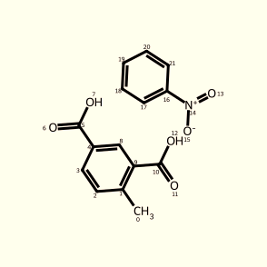 Cc1ccc(C(=O)O)cc1C(=O)O.O=[N+]([O-])c1ccccc1